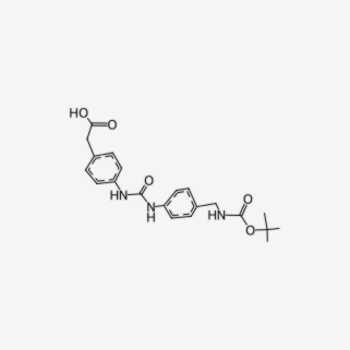 CC(C)(C)OC(=O)NCc1ccc(NC(=O)Nc2ccc(CC(=O)O)cc2)cc1